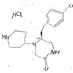 Cl.O=C1CN(C2CCNCC2)[C@@H](Cc2ccc(Cl)cc2)CN1